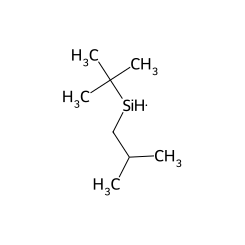 CC(C)C[SiH]C(C)(C)C